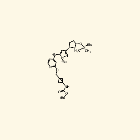 CC(C)(C)OC(=O)NC12CC(COc3cc(Nc4cc([C@H]5CC[C@@H](O[Si](C)(C)C(C)(C)C)C5)nn4C(C)(C)C)ccn3)(C1)C2